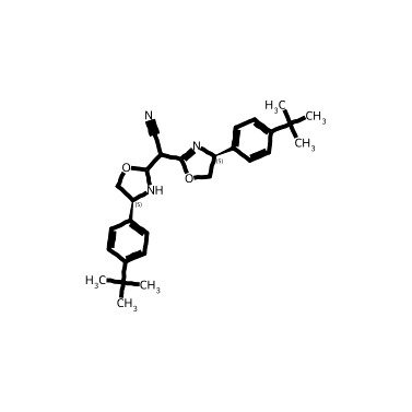 CC(C)(C)c1ccc([C@H]2COC(C(C#N)C3N[C@@H](c4ccc(C(C)(C)C)cc4)CO3)=N2)cc1